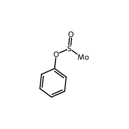 O=[S]([Mo])Oc1ccccc1